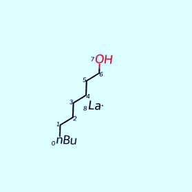 CCCCCCCCCCO.[La]